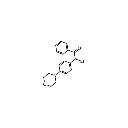 CCC(C(=O)c1ccccc1)c1ccc(N2CCOCC2)cc1